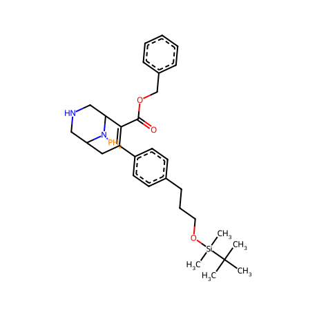 CC(C)(C)[Si](C)(C)OCCCc1ccc(C2=C(C(=O)OCc3ccccc3)C3CNCC(C2)N3P)cc1